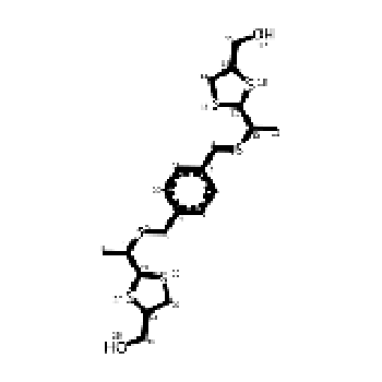 CC(SCc1ccc(CSC(C)C2SCC(CO)S2)cc1)C1SCC(CO)S1